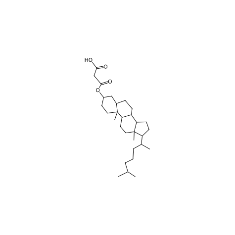 CC(C)CCCC(C)C1CCC2C3CCC4CC(OC(=O)CC(=O)O)CCC4(C)C3CCC12C